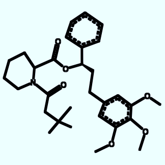 COc1cc(CC[C@@H](OC(=O)C2CCCCN2C(=O)CC(C)(C)C)c2ccccc2)cc(OC)c1OC